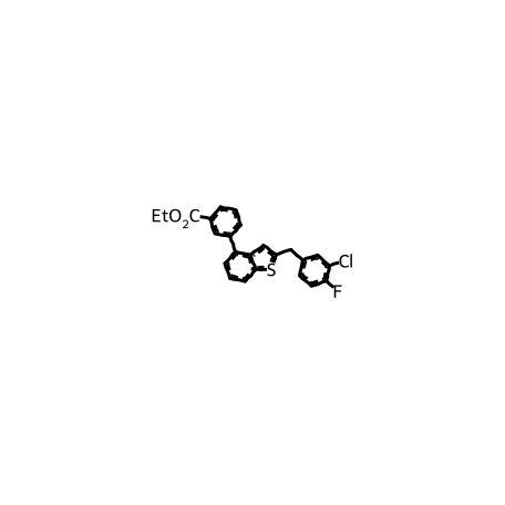 CCOC(=O)c1cccc(-c2cccc3sc(Cc4ccc(F)c(Cl)c4)cc23)c1